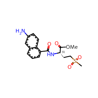 COC(=O)[C@H](CCS(C)(=O)=O)NC(=O)c1cccc2cc(N)ccc12